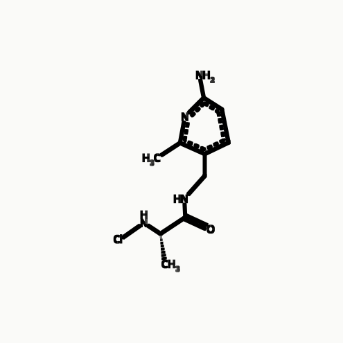 Cc1nc(N)ccc1CNC(=O)[C@H](C)NCl